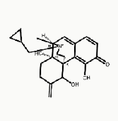 C=C1CC[C@@]2(O)[C@H]3C=C4C=CC(=O)C(O)=C4[C@@]2(CC[N+]3(C)CC2CC2)C1O